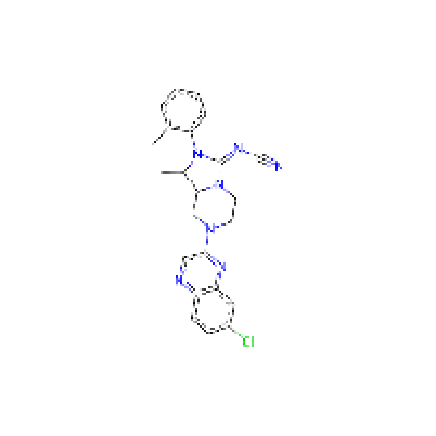 Cc1ccccc1N1/C(=N/C#N)N2CCN(c3cnc4ccc(Cl)cc4n3)CC2C1C